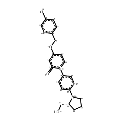 O=c1cc(OCc2ccc(Cl)cn2)ccn1-c1ccc(N2CCC[C@@H]2CO)nc1